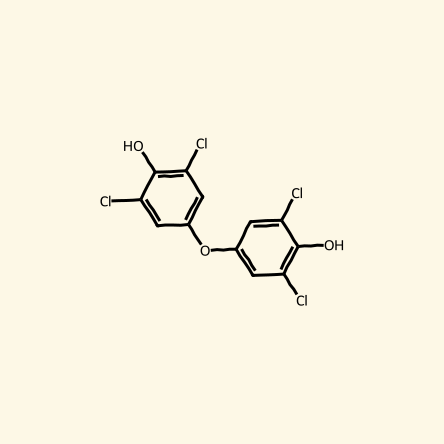 Oc1c(Cl)cc(Oc2cc(Cl)c(O)c(Cl)c2)cc1Cl